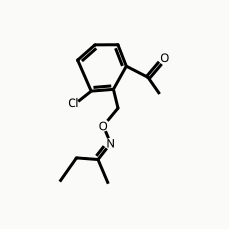 CCC(C)=NOCc1c(Cl)cccc1C(C)=O